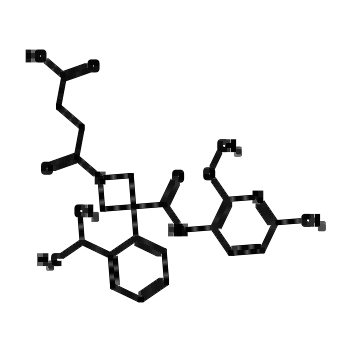 COc1nc(C)ccc1NC(=O)C1(c2ccccc2C(C)C)CN(C(=O)CCC(=O)O)C1